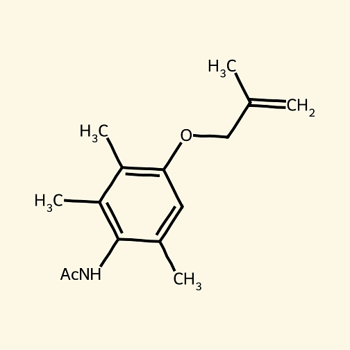 C=C(C)COc1cc(C)c(NC(C)=O)c(C)c1C